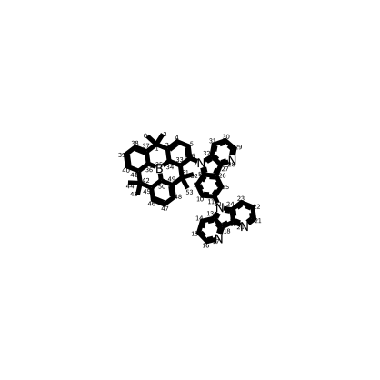 CC1(C)C2=CC=C(n3c4ccc(-n5c6cccnc6c6ncccc65)cc4c4ncccc43)C3C2B2C4C1=CC=CC4C(C)(C)C1C=CC=C(C21)C3(C)C